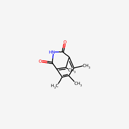 Cc1c(C)c2c(C)c(c1C)C(=O)NC2=O